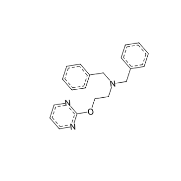 c1ccc(CN(CCOc2ncccn2)Cc2ccccc2)cc1